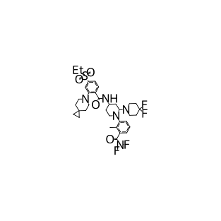 CCS(=O)(=O)c1ccc(C(=O)NC2CCN(c3cccc(C(=O)N(F)F)c3C)C(N3CCC(F)(F)CC3)C2)c(N2CCC3(CC2)CC3)c1